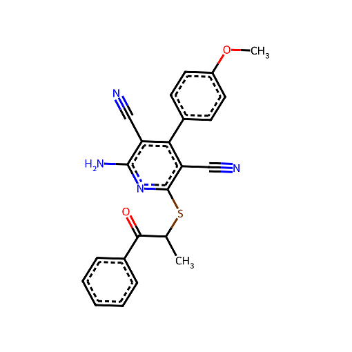 COc1ccc(-c2c(C#N)c(N)nc(SC(C)C(=O)c3ccccc3)c2C#N)cc1